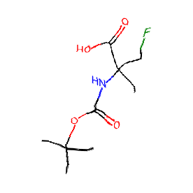 CC(C)(C)OC(=O)NC(C)(CF)C(=O)O